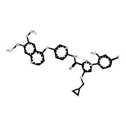 COc1cc2nccc(Oc3ccc(NC(=O)c4nn(-c5ccc(F)cc5C)cc4OCC4CC4)nc3)c2cc1OC